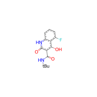 CC(C)(C)NC(=O)c1c(O)c2c(F)cccc2[nH]c1=O